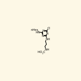 CCCCCCNc1nc(Cl)nc(NCCCNC(=O)O)n1